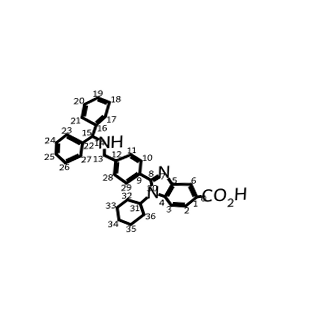 O=C(O)c1ccc2c(c1)nc(-c1ccc(CNC(c3ccccc3)c3ccccc3)cc1)n2C1CCCCC1